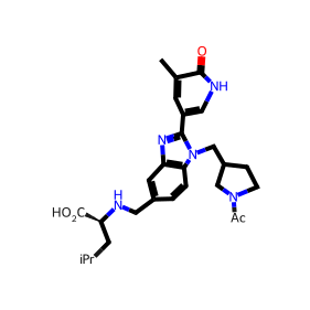 CC(=O)N1CCC(Cn2c(-c3c[nH]c(=O)c(C)c3)nc3cc(CN[C@@H](CC(C)C)C(=O)O)ccc32)C1